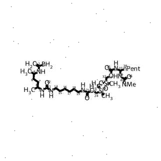 BC(=C)NC(C)CCC(C)NC(=O)NCCCCCCNC(=O)OC[Si](C)(C)O[Si](C)(C)COC(=O)NC(CCCCC)NC(=O)NC